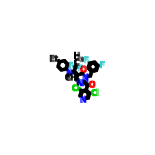 CCC1CCC(N(C)/C(=C(\C=N)C(=O)N(CC(=O)c2c(Cl)cncc2Cl)Cc2cc(F)cc(F)c2)C(C)(F)F)CC1